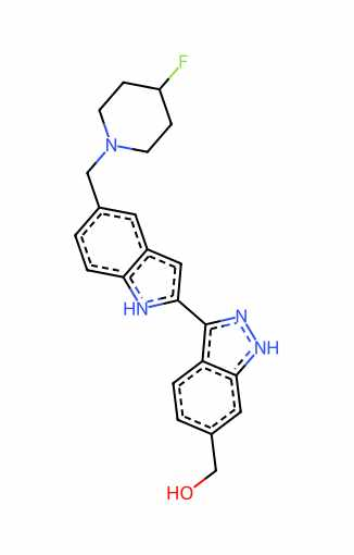 OCc1ccc2c(-c3cc4cc(CN5CCC(F)CC5)ccc4[nH]3)n[nH]c2c1